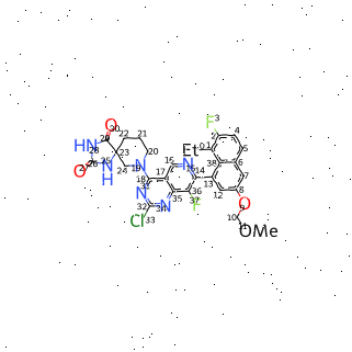 CCc1c(F)ccc2cc(OCOC)cc(-c3ncc4c(N5CCCC6(C5)NC(=O)NC6=O)nc(Cl)nc4c3F)c12